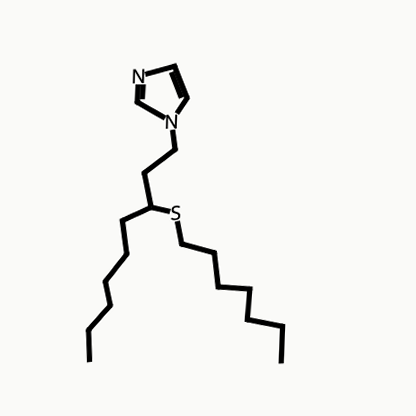 CCCCCCCSC(CCCCCC)CCn1ccnc1